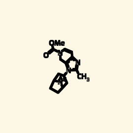 COC(=O)N1C=Cc2nc(C)n(C3CC4CCC(C3)N4C(C)=O)c2C1